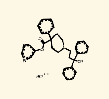 Cl.Cl.N#CC(CCN1CCC(C(=O)Oc2cccnc2)(c2ccccc2)CC1)(c1ccccc1)c1ccccc1